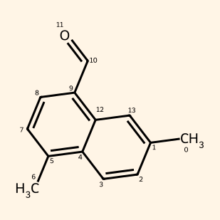 Cc1ccc2c(C)ccc(C=O)c2c1